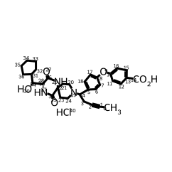 CC#CCC(c1ccc(Oc2ccc(C(=O)O)cc2)cc1)N1CCC2(CC1)NC(=O)[C@@H]([C@H](O)C1CCCCC1)NC2=O.Cl